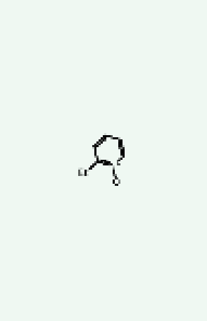 CCc1ccc[c][n+]1[O-]